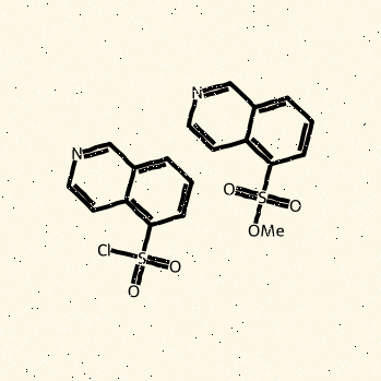 COS(=O)(=O)c1cccc2cnccc12.O=S(=O)(Cl)c1cccc2cnccc12